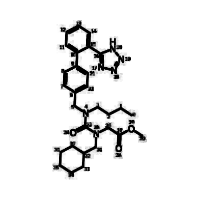 CCCCN(Cc1ccc(-c2ccccc2-c2nnn[nH]2)cc1)C(=O)N(CC(=O)OC)CC1CCCCC1